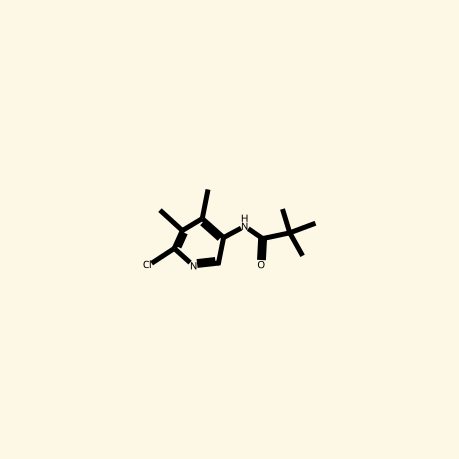 Cc1c(NC(=O)C(C)(C)C)cnc(Cl)c1C